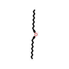 CCCCCCCCCCC#COC#CCCCCCCCCCC